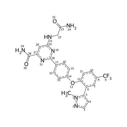 Cn1nccc1-c1cc(C(F)(F)F)ccc1Oc1ccc(-c2nc(NCC(N)=O)cc(C(N)=O)n2)cc1